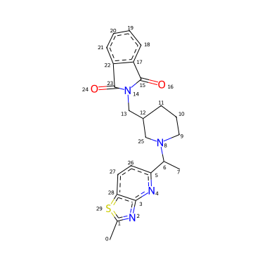 Cc1nc2nc(C(C)N3CCCC(CN4C(=O)c5ccccc5C4=O)C3)ccc2s1